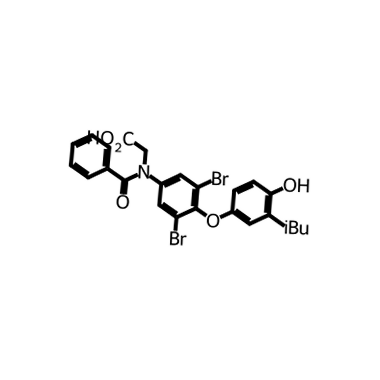 CCC(C)c1cc(Oc2c(Br)cc(N(CC(=O)O)C(=O)c3ccccc3)cc2Br)ccc1O